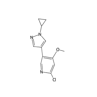 COc1cc(Cl)ncc1-c1cnn(C2CC2)c1